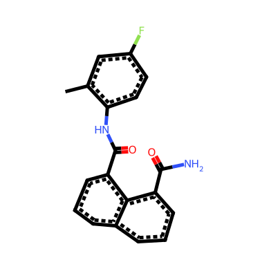 Cc1cc(F)ccc1NC(=O)c1cccc2cccc(C(N)=O)c12